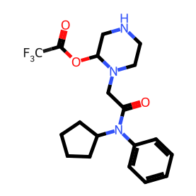 O=C(CN1CCNCC1OC(=O)C(F)(F)F)N(c1ccccc1)C1CCCC1